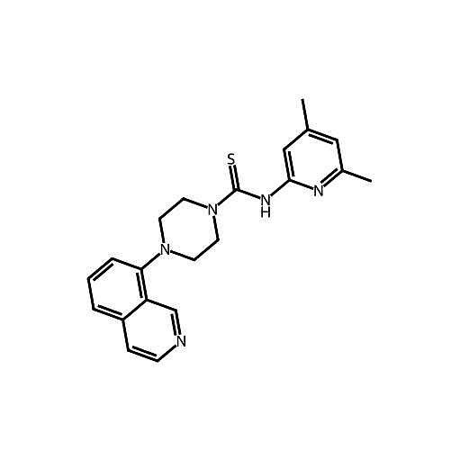 Cc1cc(C)nc(NC(=S)N2CCN(c3cccc4ccncc34)CC2)c1